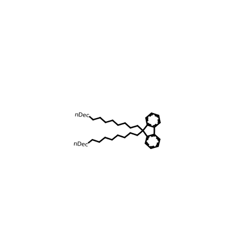 CCCCCCCCCCCCCCCCCCC1(CCCCCCCCCCCCCCCCCC)c2ccccc2-c2ccccc21